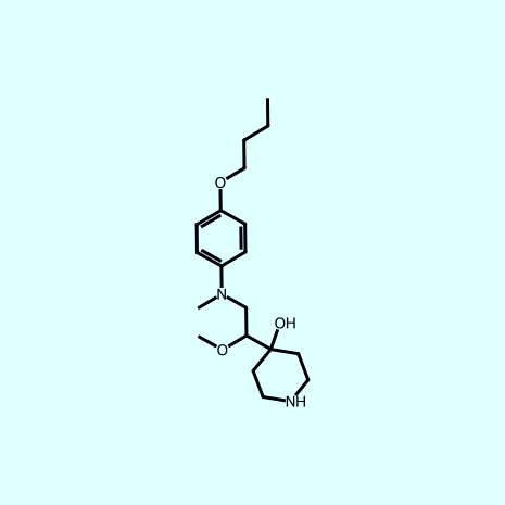 CCCCOc1ccc(N(C)CC(OC)C2(O)CCNCC2)cc1